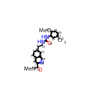 CNC(=O)c1cc2ccc(CCNC(=O)Nc3cc(C(F)(F)F)ccc3OC)cc2cn1